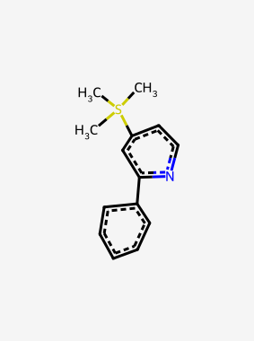 CS(C)(C)c1ccnc(-c2ccccc2)c1